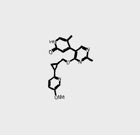 COc1ccc(C2CC2COc2nc(C)ncc2-c2cc(=O)[nH]cc2C)nc1